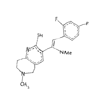 CN/C(=C\c1ccc(F)cc1F)c1cc2c(nc1S)CCN(C)C2